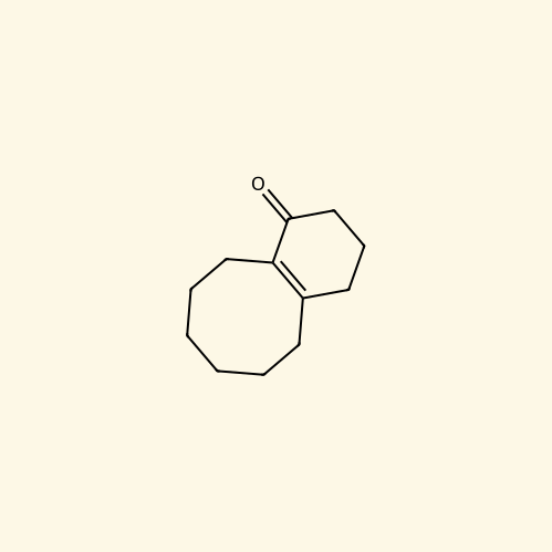 O=C1CCCC2=C1CCCCCC2